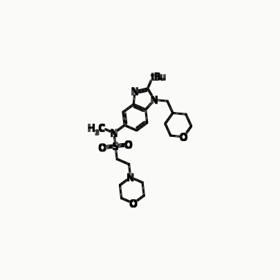 CN(c1ccc2c(c1)nc(C(C)(C)C)n2CC1CCOCC1)S(=O)(=O)CCN1CCOCC1